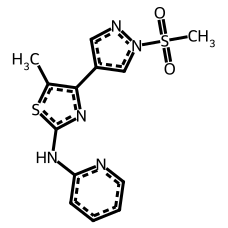 Cc1sc(Nc2ccccn2)nc1-c1cnn(S(C)(=O)=O)c1